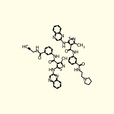 C#CCNC(=O)c1cccc(NC(=O)c2c(C)nsc2Nc2cnc3ccccc3n2)c1.Cc1nsc(Nc2cnc3ccccc3n2)c1C(=O)Nc1cccc(C(=O)NCCN2CCCC2)c1